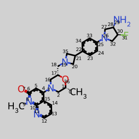 C[C@@H]1CN(c2cc(=O)n(C)c3ncccc23)C[C@H](CN2CC(c3ccc(N4C[C@@H](N)[C@@H](F)C4)cc3)C2)O1